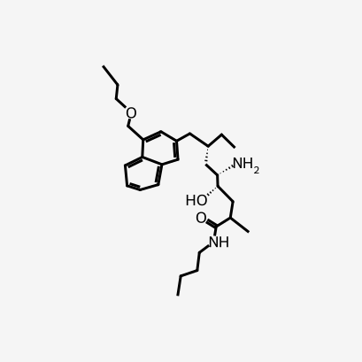 CCCCNC(=O)C(C)C[C@H](O)[C@@H](N)C[C@@H](CC)Cc1cc(COCCC)c2ccccc2c1